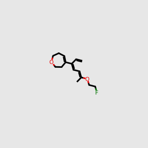 C=C/C(=C\C=C(/C)OCCF)C1=CCCOCC1